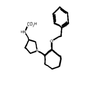 O=C(O)NC1CCN(C2CCCCC2OCc2ccccc2)C1